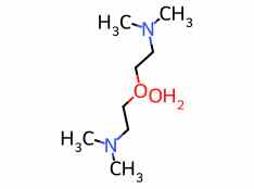 CN(C)CCOCCN(C)C.O